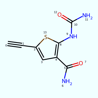 C#Cc1cc(C(N)=O)c(NC(N)=O)s1